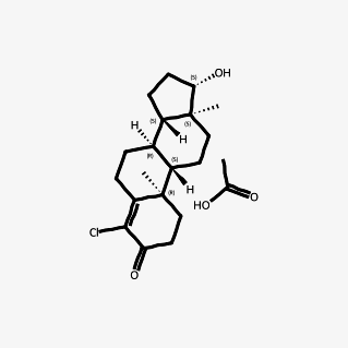 CC(=O)O.C[C@]12CC[C@H]3[C@@H](CCC4=C(Cl)C(=O)CC[C@@]43C)[C@@H]1CC[C@@H]2O